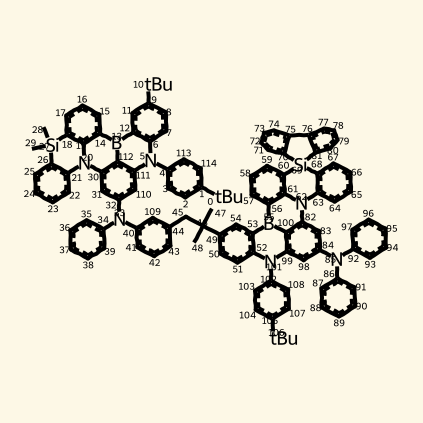 CC(C)(C)c1ccc(N2c3ccc(C(C)(C)C)cc3B3c4cccc5c4N(c4ccccc4[Si]5(C)C)c4cc(N(c5ccccc5)c5cccc(CC(C)(C)c6ccc7c(c6)B6c8cccc9c8N(c8ccccc8[Si]98c9ccccc9-c9ccccc98)c8cc(N(c9ccccc9)c9ccccc9)cc(c86)N7c6ccc(C(C)(C)C)cc6)c5)cc2c43)cc1